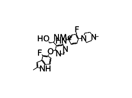 CNC(CO)c1c(Nc2ccc(N3CCN(C)CC3)c(F)c2)ncnc1Oc1ccc2[nH]c(C)cc2c1F